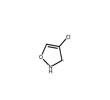 ClC1=CON[C]1